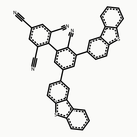 N#Cc1cc(C#N)c(-c2cc(-c3ccc4sc5ccccc5c4c3)cc(-c3ccc4sc5ccccc5c4c3)c2C#N)c(C#N)c1